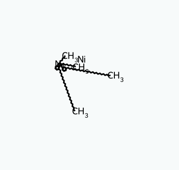 CCCCCCCCCCCCCCCCCCCCCCCCCc1cccc(N=C(CCCCC)C(CCCCCCCC)=Nc2cccc(CCCCCCCCCCCCCCCCCCCCCCCCC)c2)c1.[Ni]